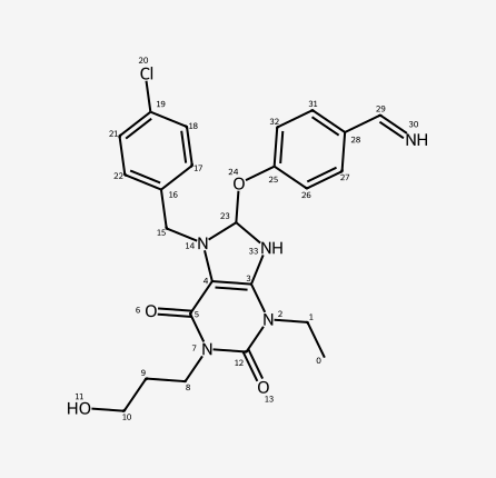 CCn1c2c(c(=O)n(CCCO)c1=O)N(Cc1ccc(Cl)cc1)C(Oc1ccc(C=N)cc1)N2